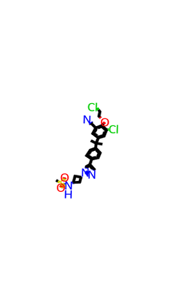 CC(C)(c1ccc(-c2cnn(C3CC(NS(C)(=O)=O)C3)c2)cc1)c1cc(Cl)c(OCCCl)c(C#N)c1